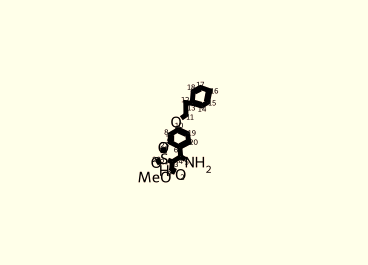 COC(=O)C(C(N)c1ccc(OCCc2ccccc2)cc1)[SH](=O)=O